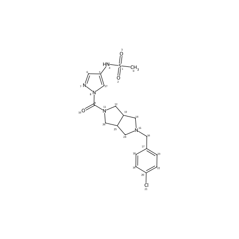 CS(=O)(=O)Nc1cnn(C(=O)N2CC3CN(Cc4ccc(Cl)cc4)CC3C2)c1